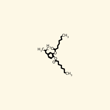 CCCCCCCC(=O)Oc1ccc(CC(C)C)cc1OC(=O)CCCCCCC